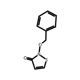 O=c1ccsn1OCc1ccccc1